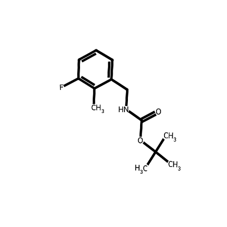 Cc1c(F)cccc1CNC(=O)OC(C)(C)C